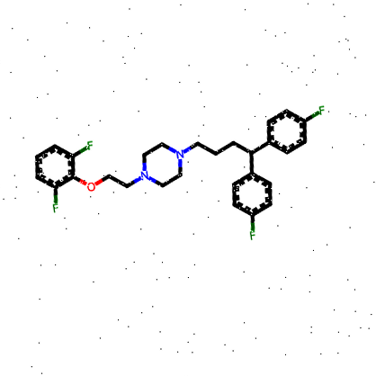 Fc1ccc(C(CCCN2CCN(CCOc3c(F)cccc3F)CC2)c2ccc(F)cc2)cc1